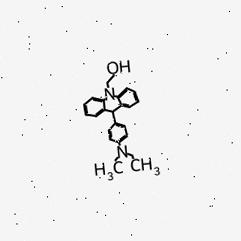 CCN(CC)c1ccc(C2c3ccccc3N(CCO)c3ccccc32)cc1